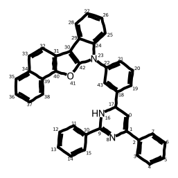 C1=C(c2ccccc2)N=C(c2ccccc2)NC1c1cccc(-n2c3ccccc3c3c4ccc5ccccc5c4oc32)c1